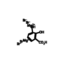 O=C(O)c1cccc(O)c1O.[Br-].[Br-].[Br-].[Br-].[Mg+2].[Mg+2]